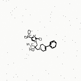 C[C@](O)(CN1CC=C(c2ccccc2)CC1)Cn1cc([N+](=O)[O-])nc1Cl